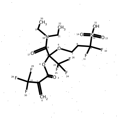 C=C(C(=O)OC(OCCC(F)(F)S(=O)(=O)O)(C(=O)N(CC)CC)C(F)(F)F)C(F)(F)F